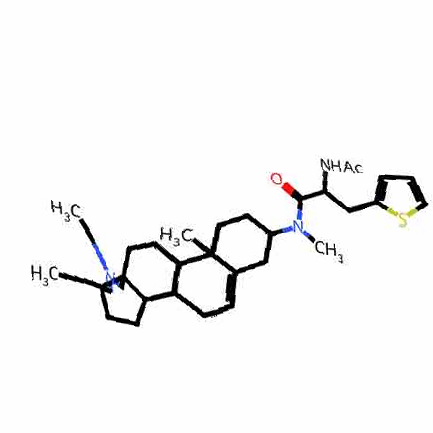 CC(=O)NC(Cc1cccs1)C(=O)N(C)C1CCC2(C)C(=CCC3C2CCC24CN(C)C(C)C2CCC34)C1